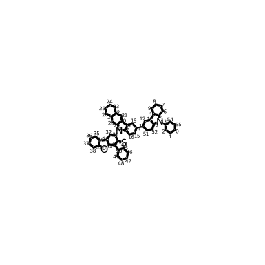 c1ccc(-n2c3ccccc3c3cc(-c4ccc5c(c4)c4cc6ccccc6cc4n5-c4cc5c6ccccc6oc5c5c4sc4ccccc45)ccc32)cc1